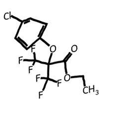 CCOC(=O)C(Oc1ccc(Cl)cc1)(C(F)(F)F)C(F)(F)F